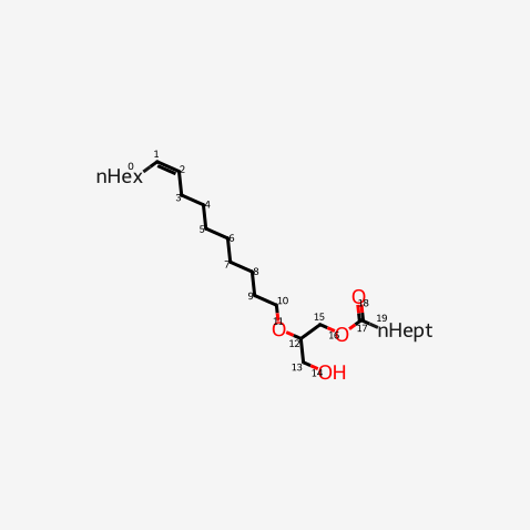 CCCCCC/C=C\CCCCCCCCOC(CO)COC(=O)CCCCCCC